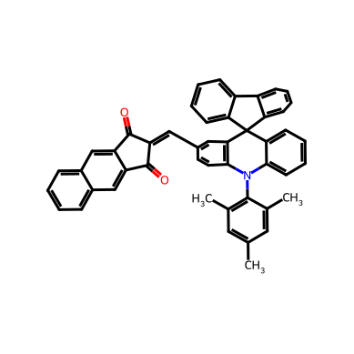 Cc1cc(C)c(N2c3ccccc3C3(c4ccccc4-c4ccccc43)c3cc(C=C4C(=O)c5cc6ccccc6cc5C4=O)ccc32)c(C)c1